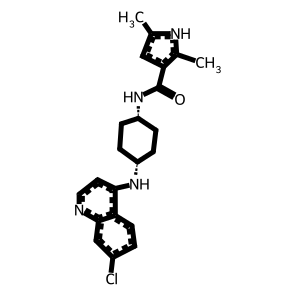 Cc1cc(C(=O)N[C@H]2CC[C@@H](Nc3ccnc4cc(Cl)ccc34)CC2)c(C)[nH]1